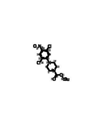 CC(C)(C)OC(=O)N1CCN(c2cc(Cl)c([N+](=O)[O-])cc2Cl)CC1